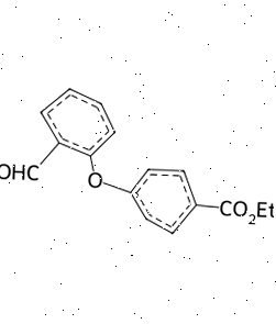 CCOC(=O)c1ccc(Oc2ccccc2C=O)cc1